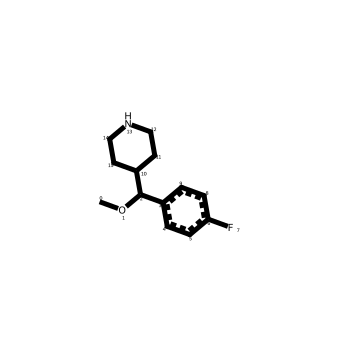 COC(c1ccc(F)cc1)C1CCNCC1